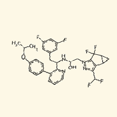 CC(C)Oc1ccc(-c2cccnc2C(Cc2cc(F)cc(F)c2)NC(O)Cn2nc(C(F)F)c3c2C(F)(F)C2CC32)cc1